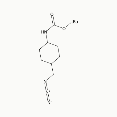 CC(C)(C)OC(=O)NC1CCC(CN=[N+]=[N-])CC1